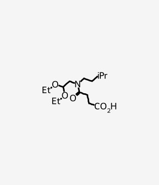 CCOC(CN(CCC(C)C)C(=O)CCC(=O)O)OCC